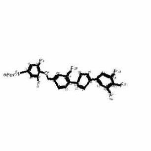 CCCCCc1cc(F)c(OCc2ccc(-c3ccc(-c4cc(F)c(F)c(F)c4)cc3)c(F)c2)c(F)c1